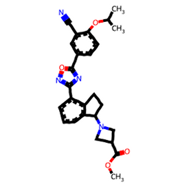 COC(=O)C1CN(C2CCc3c(-c4noc(-c5ccc(OC(C)C)c(C#N)c5)n4)cccc32)C1